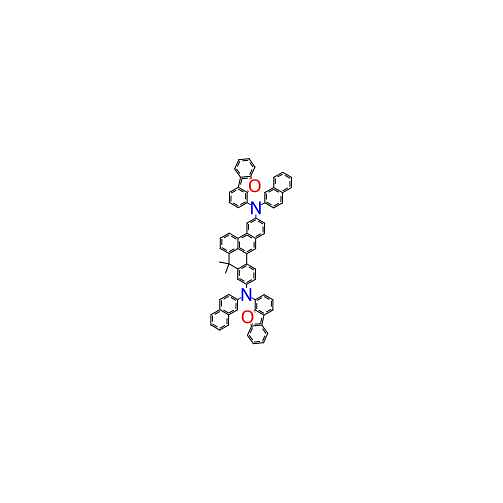 CC1(C)c2cc(N(c3ccc4ccccc4c3)c3cccc4c3oc3ccccc34)ccc2-c2cc3ccc(N(c4ccc5ccccc5c4)c4cccc5c4oc4ccccc45)cc3c3cccc1c23